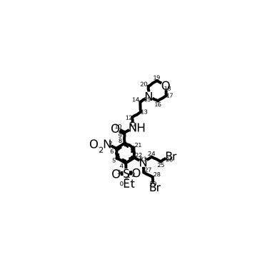 CCS(=O)(=O)c1cc([N+](=O)[O-])c(C(=O)NCCCN2CCOCC2)cc1N(CCBr)CCBr